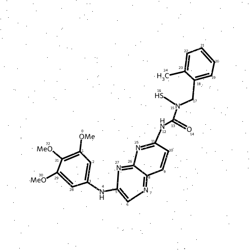 COc1cc(Nc2cnc3ccc(NC(=O)N(S)Cc4ccccc4C)nc3n2)cc(OC)c1OC